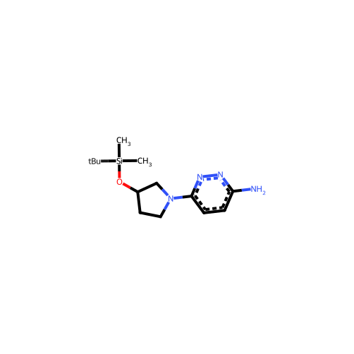 CC(C)(C)[Si](C)(C)OC1CCN(c2ccc(N)nn2)C1